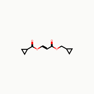 O=C(C=COC(=O)C1CC1)OCC1CC1